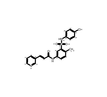 Cc1ccc(NC(=O)/C=C/c2cccnc2)cc1S(=O)(=O)Nc1ccc(Cl)cc1